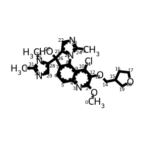 COc1nc2ccc3c(c2c(Cl)c1OCC1CCOC1)-n1c(cnc1C)C3(O)c1cnc(C)n1C